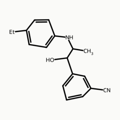 CCc1ccc(NC(C)C(O)c2cccc(C#N)c2)cc1